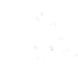 Cc1c(-n2cccn2)sc2c1c(=O)n(C(C)(C)C(=O)O)c(=O)n2CCc1ccccc1